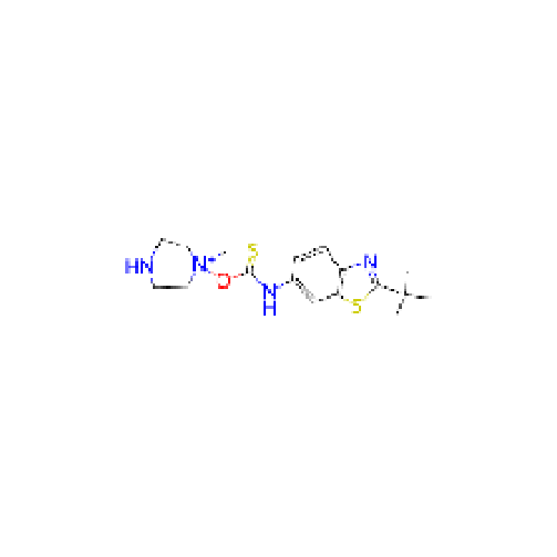 CC(C)(C)c1nc2ccc(NC(=S)O[N+]3(C)CCNCC3)cc2s1